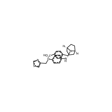 O=C(O)c1ccc(CN2[C@@H]3CC[C@H]2C[C@H](Nc2ccc(OCc4cscn4)cc2)C3)cc1